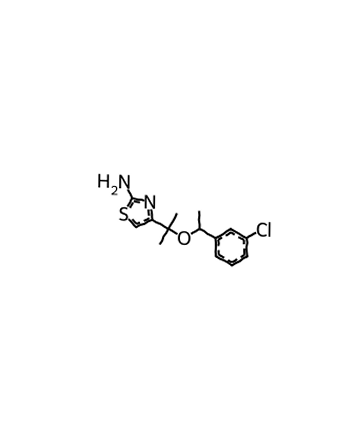 CC(OC(C)(C)c1csc(N)n1)c1cccc(Cl)c1